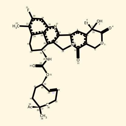 CC[C@@]1(O)C(=O)OCc2c1cc1n(c2=O)Cc2c-1nc1cc(F)c(C)c3c1c2[C@@H](NC(=O)O[C@H]1/C=C/CC[C@@](C)(C(C)=O)CC1)CC3